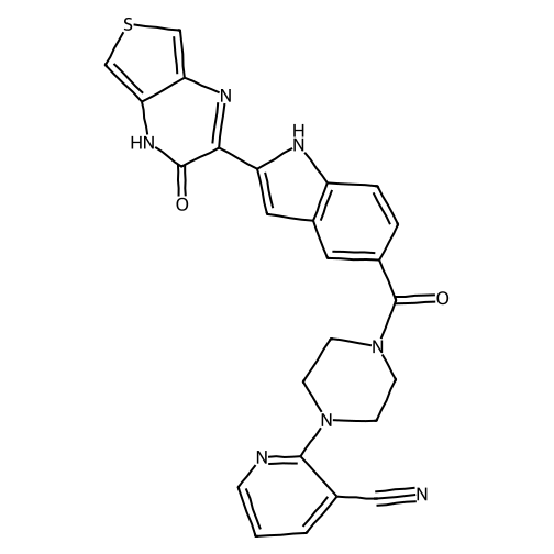 N#Cc1cccnc1N1CCN(C(=O)c2ccc3[nH]c(-c4nc5cscc5[nH]c4=O)cc3c2)CC1